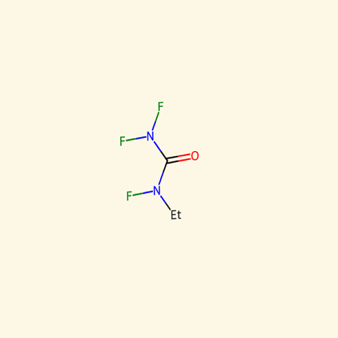 CCN(F)C(=O)N(F)F